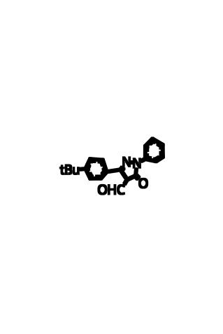 CC(C)(C)c1ccc(C2=NN(c3ccccc3)C(=O)C2C=O)cc1